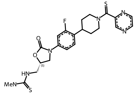 CNC(=S)NC[C@H]1CN(c2ccc(C3CCN(C(=S)c4cnccn4)CC3)c(F)c2)C(=O)O1